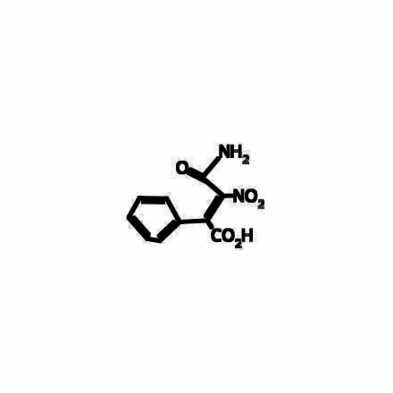 NC(=O)C(=C(C(=O)O)c1ccccc1)[N+](=O)[O-]